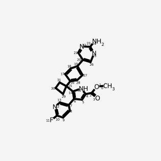 COC(=O)c1cc(-c2ccc(F)nc2)c(C2(c3ccc(-c4cnc(N)nc4)cc3)CCC2)[nH]1